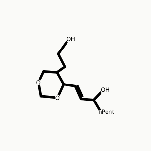 CCCCCC(O)C=CC1OCOCC1CCO